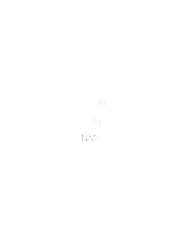 CNCC(C)(CC(C)C)C(C)C